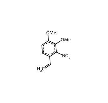 C=Cc1ccc(OC)c(OC)c1[N+](=O)[O-]